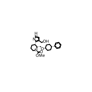 COC(=O)N1CCC[C@H](c2n[nH]cc2CO)[C@@H]1CO[C@H]1CC[C@@H](c2ccccc2)CC1